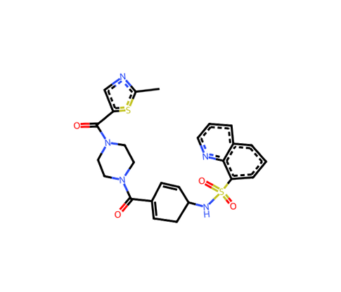 Cc1ncc(C(=O)N2CCN(C(=O)C3=CCC(NS(=O)(=O)c4cccc5cccnc45)C=C3)CC2)s1